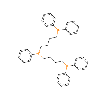 c1ccc(P(CCCCP(c2ccccc2)c2ccccc2)CCCCP(c2ccccc2)c2ccccc2)cc1